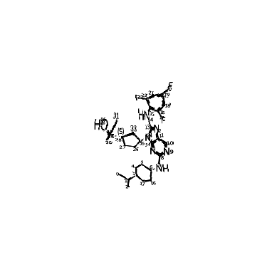 CC(C)[C@H]1CC[C@H](Nc2ncc3nc(Nc4c(F)cc(F)cc4F)n([C@@H]4CC[C@H](C(C)(C)O)C4)c3n2)CC1